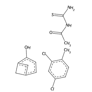 CC(=O)NC(N)=S.Cc1ccc(Cl)cc1Cl.Oc1ccc2cc1C2